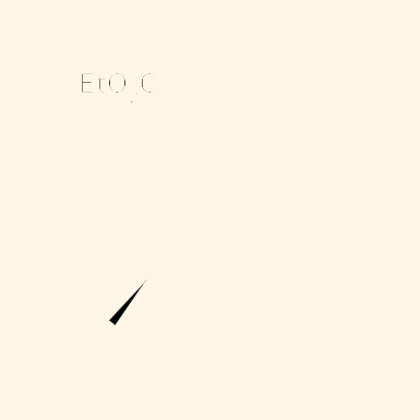 C=C[C@H](C)[C@@H](C)CCC(=O)OCC